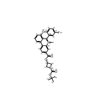 C[n+]1c2c3c(cccc3c3ccc(C(=O)OC4CN(C(=O)OC(C)(C)C)C4)cc31)Oc1ccc(F)cc1-2